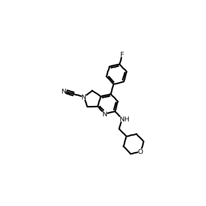 N#CN1Cc2nc(NCC3CCOCC3)cc(-c3ccc(F)cc3)c2C1